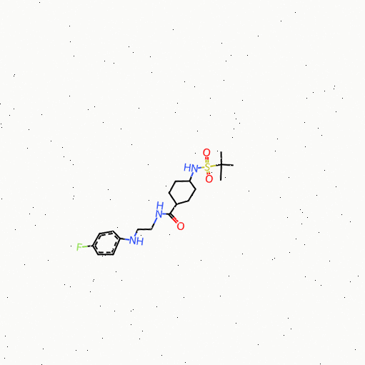 CC(C)(C)S(=O)(=O)NC1CCC(C(=O)NCCNc2ccc(F)cc2)CC1